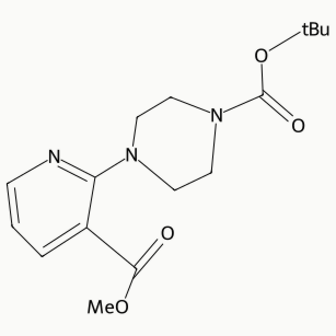 COC(=O)c1cccnc1N1CCN(C(=O)OC(C)(C)C)CC1